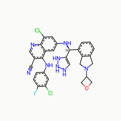 N#Cc1cnc2c(Cl)cc(N[C@H](C3=CNNN3)c3cccc4c3CN(C3COC3)C4)cc2c1Nc1ccc(F)c(Cl)c1